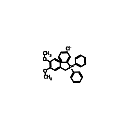 COc1ccc(C[P+](c2ccccc2)(c2ccccc2)c2ccccc2)cc1OC.[Cl-]